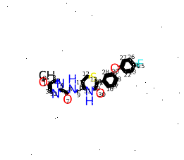 COc1cnc(C(=O)NC[C@@H]2CCS[C@H](c3cccc(Oc4ccc(F)cc4)c3)C(=O)N2)nc1